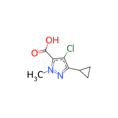 Cn1nc(C2CC2)c(Cl)c1C(=O)O